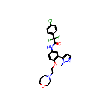 Cn1nccc1-c1cc(NC(=O)C(F)(F)c2ccc(Cl)cc2)ccc1OCCN1CCCOCC1